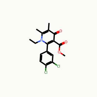 CCn1c(C)c(C)c(=O)c(C(=O)OC)c1-c1ccc(Cl)c(Cl)c1